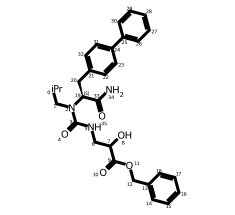 CC(C)CN(C(=O)NCC(O)C(=O)OCc1ccccc1)[C@@H](Cc1ccc(-c2ccccc2)cc1)C(N)=O